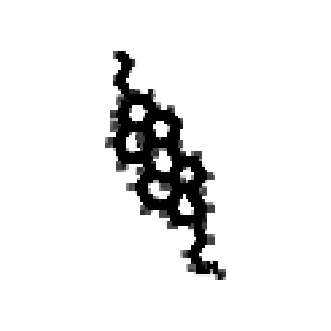 CCC[n+]1cc2ccc3c4ccc5c[n+](CCN)cc6ccc(c7ccc(c1)c2c37)c4c56